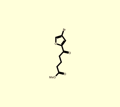 COC(=O)CCCC(=O)c1cc(Br)co1